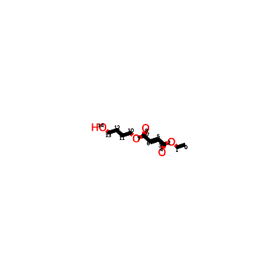 CCOC(=O)C=CC(=O)OCCCCO